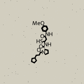 COc1ccc(NC(=O)CC(S)NC(=O)[C@@H]2CCCN2C(=O)CCC2CCCC2)cc1